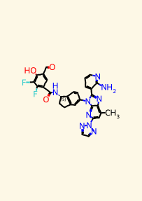 Cc1cc(-n2nccn2)nc2c1nc(-c1cccnc1N)n2-c1ccc2c(c1)CC[C@@H]2NC(=O)c1cc(C=O)c(O)c(F)c1F